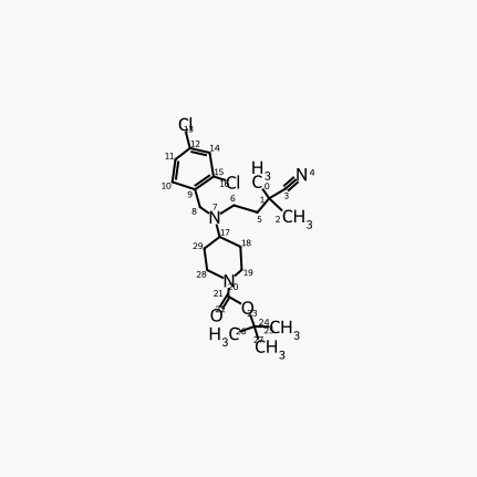 CC(C)(C#N)CCN(Cc1ccc(Cl)cc1Cl)C1CCN(C(=O)OC(C)(C)C)CC1